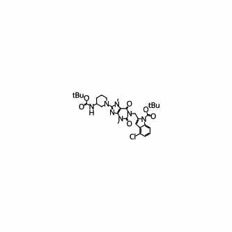 Cn1c(N2CCCC(NC(=O)OC(C)(C)C)C2)nc2c1c(=O)n(Cc1cc3c(Cl)cccc3n1C(=O)OC(C)(C)C)c(=O)n2C